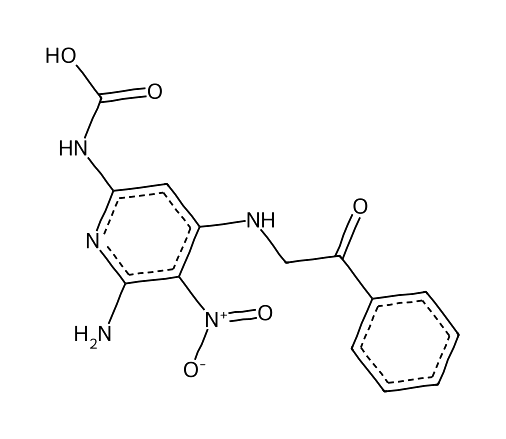 Nc1nc(NC(=O)O)cc(NCC(=O)c2ccccc2)c1[N+](=O)[O-]